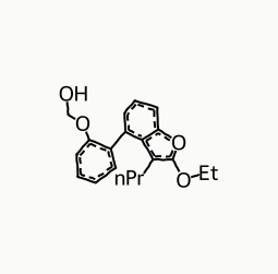 CCCc1c(OCC)oc2cccc(-c3ccccc3OCO)c12